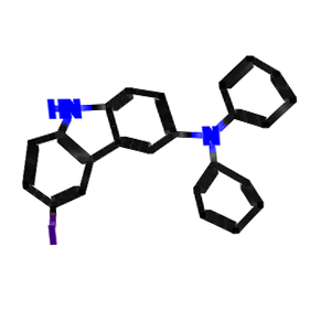 Ic1ccc2[nH]c3ccc(N(c4ccccc4)c4ccccc4)cc3c2c1